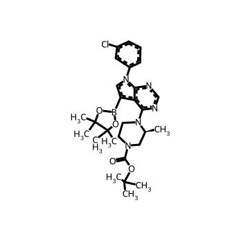 C[C@H]1CN(C(=O)OC(C)(C)C)CCN1c1ncnc2c1c(B1OC(C)(C)C(C)(C)O1)cn2-c1cccc(Cl)c1